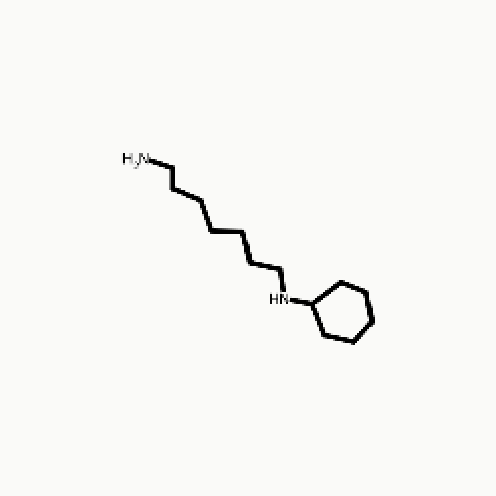 NCCCCCCCNC1CCCCC1